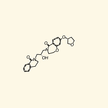 O=C1c2ccccc2CCN1C[C@@H](O)CN1CCOc2cc(O[C@H]3CCOC3)ccc2C1=O